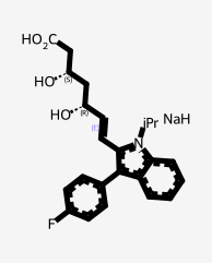 CC(C)n1c(/C=C/[C@H](O)C[C@H](O)CC(=O)O)c(-c2ccc(F)cc2)c2ccccc21.[NaH]